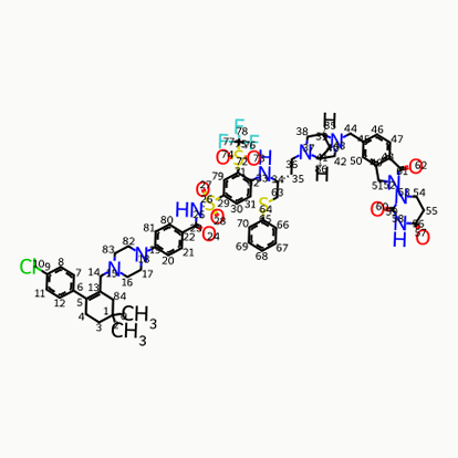 CC1(C)CCC(c2ccc(Cl)cc2)=C(CN2CCN(c3ccc(C(=O)NS(=O)(=O)c4ccc(N[C@H](CCN5C[C@@H]6C[C@H]5CN6Cc5ccc6c(c5)CN(N5CCC(=O)NC5=O)C6=O)CSc5ccccc5)c(S(=O)(=O)C(F)(F)F)c4)cc3)CC2)C1